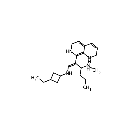 CCCC(NC)/C(=C\NC1CC(CC)C1)C1=C2NCC=CC2=CCN1